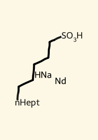 CCCCCCCCCCCCS(=O)(=O)O.[NaH].[Nd]